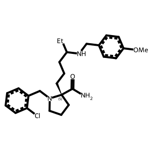 CCC(CCC[C@@]1(C(N)=O)CCCN1Cc1ccccc1Cl)NCc1ccc(OC)cc1